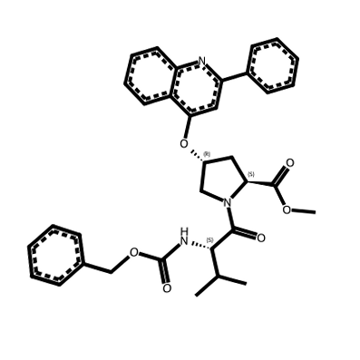 COC(=O)[C@@H]1C[C@@H](Oc2cc(-c3ccccc3)nc3ccccc23)CN1C(=O)[C@@H](NC(=O)OCc1ccccc1)C(C)C